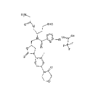 NCC(=O)OCC(CCC=O)N(C[C@H]1CN(c2ccc(N3CCOCC3=O)cc2F)C(=O)O1)C(=O)c1ccc(Cl)s1.O=C(O)C(F)(F)F